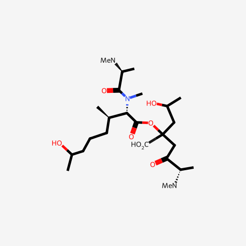 CN[C@@H](C)C(=O)CC(CC(C)O)(OC(=O)[C@H]([C@H](C)CCCC(C)O)N(C)C(=O)[C@H](C)NC)C(=O)O